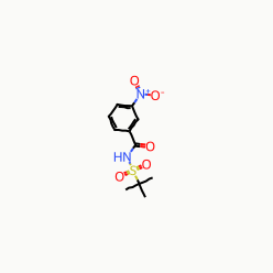 CC(C)(C)S(=O)(=O)NC(=O)c1cccc([N+](=O)[O-])c1